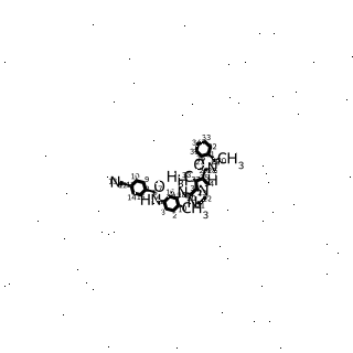 Cc1ccc(NC(=O)c2ccc(C#N)cc2)cc1Nc1nccn2cc(C(=O)N[C@@H](C)c3ccccc3)c(C)c12